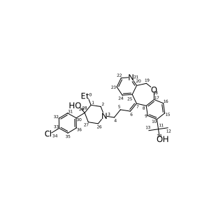 CCC1CN(CCC=C2c3cc(C(C)(C)O)ccc3OCc3ncccc32)CCC1(O)c1ccc(Cl)cc1